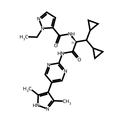 CCn1nccc1C(=O)N[C@H](C(=O)Nc1ncc(-c2c(C)n[nH]c2C)cn1)C(C1CC1)C1CC1